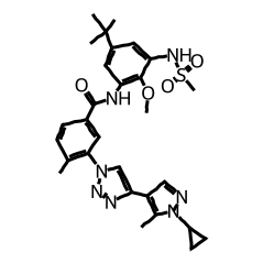 COc1c(NC(=O)c2ccc(C)c(-n3cc(-c4cnn(C5CC5)c4C)nn3)c2)cc(C(C)(C)C)cc1NS(C)(=O)=O